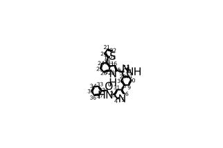 O=C(Nc1cncc(-c2ccc3[nH]nc(-c4cc5c(-c6cccs6)cccc5[nH]4)c3c2)c1)c1ccccc1